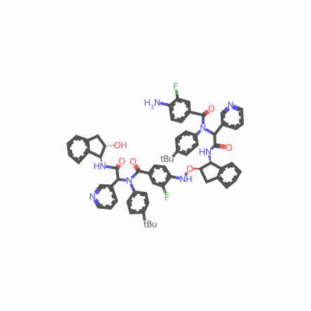 CC(C)(C)c1ccc(N(C(=O)c2ccc(NO[C@@H]3Cc4ccccc4[C@@H]3NC(=O)C(c3cccnc3)N(C(=O)c3ccc(N)c(F)c3)c3ccc(C(C)(C)C)cc3)c(F)c2)C(C(=O)N[C@@H]2c3ccccc3C[C@@H]2O)c2cccnc2)cc1